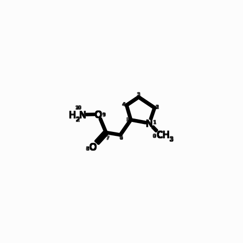 CN1CCCC1CC(=O)ON